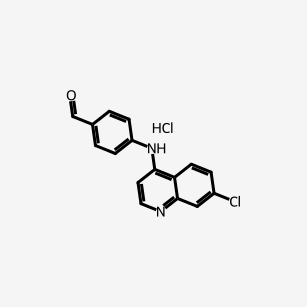 Cl.O=Cc1ccc(Nc2ccnc3cc(Cl)ccc23)cc1